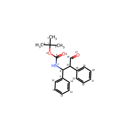 CC(C)(C)OC(=O)NC(c1ccccc1)C(C=O)c1ccccc1